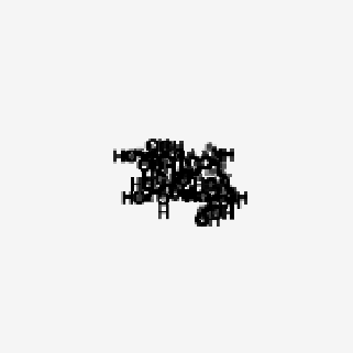 CNC(CCCNOCC(O)C(O)C(O)C(O)CO)(CCCNOCC(O)C(O)C(O)C(O)CO)CCCN(CO)C(O)C(O)C(O)C(O)CO